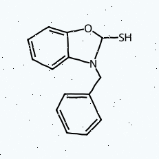 SC1Oc2ccccc2N1Cc1ccccc1